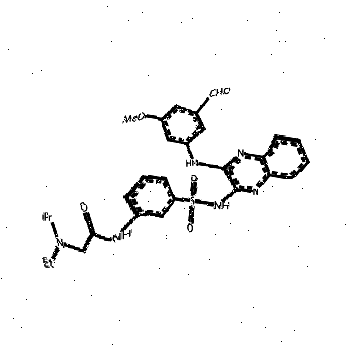 CCN(CC(=O)Nc1cccc(S(=O)(=O)Nc2nc3ccccc3nc2Nc2cc(C=O)cc(OC)c2)c1)C(C)C